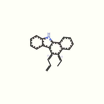 C=C/C=c1\c(=C/C)c2ccccc2c2[nH]c3ccccc3c12